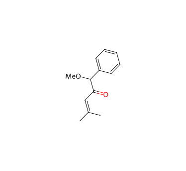 COC(C(=O)C=C(C)C)c1ccccc1